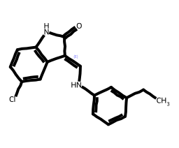 CCc1cccc(N/C=C2/C(=O)Nc3ccc(Cl)cc32)c1